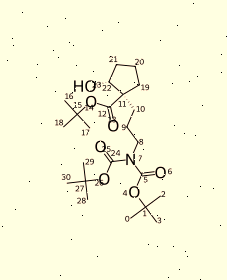 CC(C)(C)OC(=O)N(CCC[C@@]1(C(=O)OC(C)(C)C)CCC[C@H]1O)C(=O)OC(C)(C)C